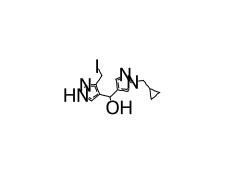 OC(c1cnn(CC2CC2)c1)c1c[nH]nc1CI